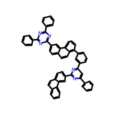 c1ccc(-c2cc(-c3cccc(-c4cccc5c4ccc4ccc(-c6nc(-c7ccccc7)nc(-c7ccccc7)n6)cc45)c3)nc(-c3ccc4ccc5ccccc5c4c3)n2)cc1